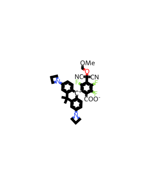 COCOC(C#N)(C#N)c1c(F)c(F)c(C(=O)[O-])c([C+]2c3ccc(N4CCC4)cc3C(C)(C)c3cc(N4CCC4)ccc32)c1F